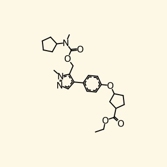 CCOC(=O)C1CCC(Oc2ccc(-c3cnn(C)c3COC(=O)N(C)C3CCCC3)cc2)C1